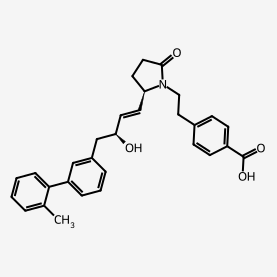 Cc1ccccc1-c1cccc(C[C@H](O)/C=C/[C@H]2CCC(=O)N2CCc2ccc(C(=O)O)cc2)c1